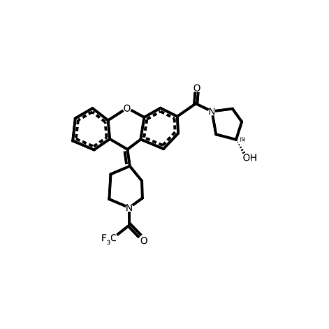 O=C(c1ccc2c(c1)Oc1ccccc1C2=C1CCN(C(=O)C(F)(F)F)CC1)N1CC[C@H](O)C1